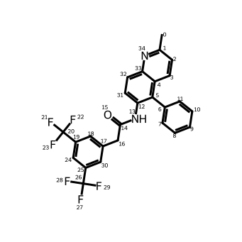 Cc1ccc2c(-c3ccccc3)c(NC(=O)Cc3cc(C(F)(F)F)cc(C(F)(F)F)c3)ccc2n1